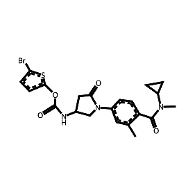 Cc1cc(N2CC(NC(=O)Oc3ccc(Br)s3)CC2=O)ccc1C(=O)N(C)C1CC1